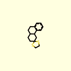 c1ccc2c(c1)CCC1CCC3(CC21)SCCS3